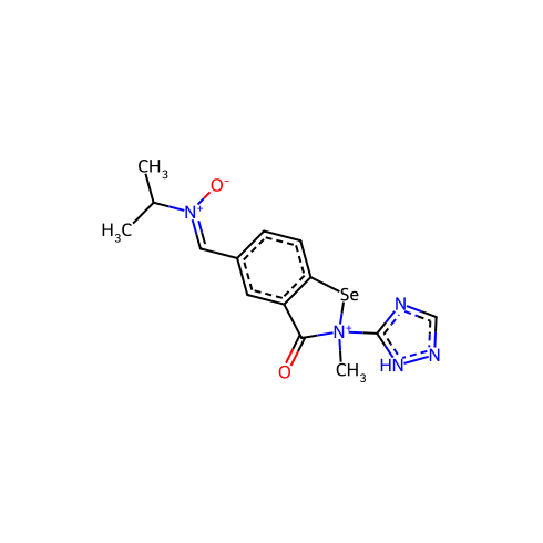 CC(C)[N+]([O-])=Cc1ccc2c(c1)C(=O)[N+](C)(c1ncn[nH]1)[Se]2